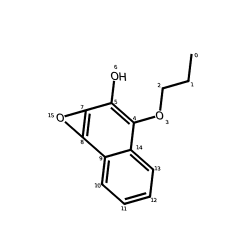 CCCOc1c(O)c2c(c3ccccc13)O2